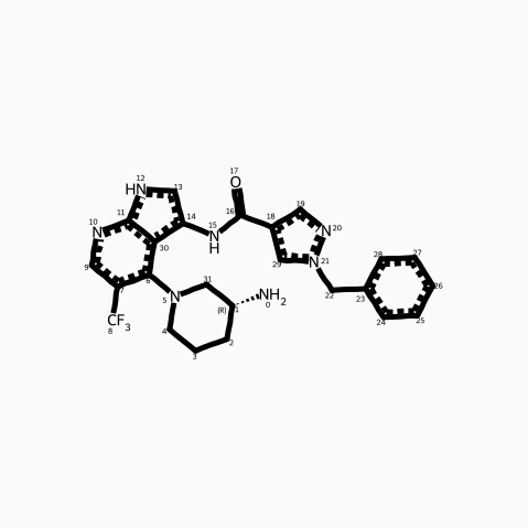 N[C@@H]1CCCN(c2c(C(F)(F)F)cnc3[nH]cc(NC(=O)c4cnn(Cc5ccccc5)c4)c23)C1